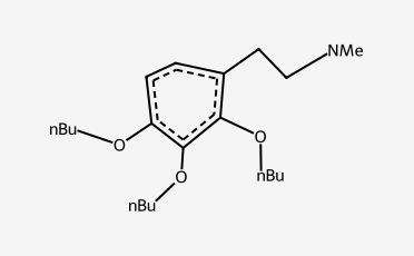 CCCCOc1ccc(CCNC)c(OCCCC)c1OCCCC